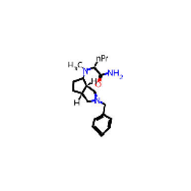 CCC[C@@H](C(N)=O)N(C)[C@H]1CC[C@H]2CN(Cc3ccccc3)C[C@H]21